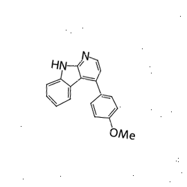 COc1ccc(-c2ccnc3[nH]c4ccccc4c23)cc1